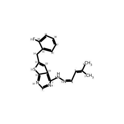 CC(C)=C/C=N\Nc1ncnc2sc(Cc3ccccc3F)cc12